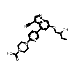 CCC(O)COc1cc(-c2ccc(N3CCN(C(=O)O)CC3)nc2)c2c(C#N)cnn2c1